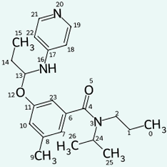 CCCN(C(=O)c1cc(C)cc(OC(CC)Nc2ccncc2)c1)C(C)C